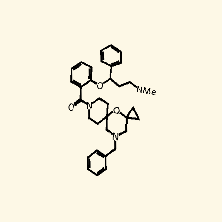 CNCCC(Oc1ccccc1C(=O)N1CCC2(CC1)CN(Cc1ccccc1)CC1(CC1)O2)c1ccccc1